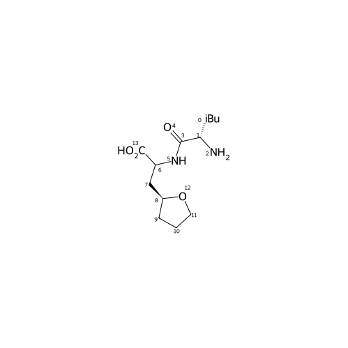 CCC(C)[C@H](N)C(=O)NC(C[C@@H]1CCCO1)C(=O)O